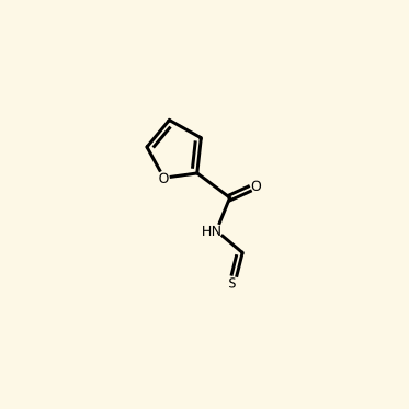 O=C(NC=S)c1ccco1